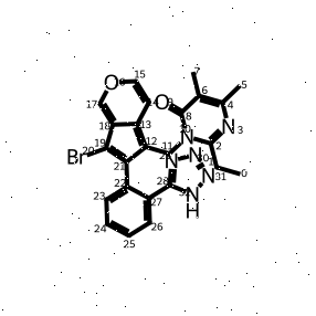 CCc1nc(C)c(C)c(=O)n1Cc1c2ccocc-2c(Br)c1-c1ccccc1-c1nnn[nH]1